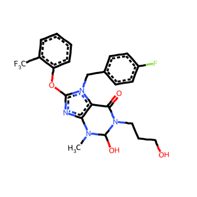 CN1c2nc(Oc3ccccc3C(F)(F)F)n(Cc3ccc(F)cc3)c2C(=O)N(CCCO)C1O